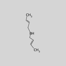 CC=CCBCC=CC